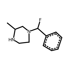 CC1CN(C(F)c2ccccc2)CCN1